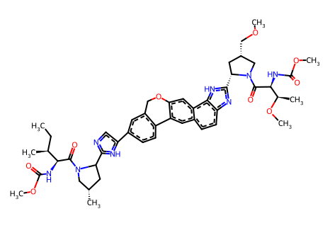 CC[C@H](C)[C@H](NC(=O)OC)C(=O)N1C[C@@H](C)CC1c1ncc(-c2ccc3c(c2)COc2cc4c(ccc5nc([C@@H]6C[C@H](COC)CN6C(=O)[C@@H](NC(=O)OC)[C@@H](C)OC)[nH]c54)cc2-3)[nH]1